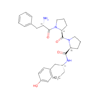 N[C@@H](Cc1ccccc1)C(=O)N1CCC[C@H]1C(=O)N1CCC[C@H]1C(=O)N[C@H](CC(=O)O)Cc1ccc(O)cc1